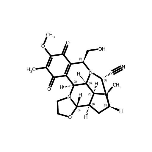 COC1=C(C)C(=O)C2=C(C1=O)[C@@H](CO)N1[C@H]3[C@@H]4[C@@H](C[C@H]([C@H]1C#N)N4C)[C@@H]1OCCN1[C@@H]23